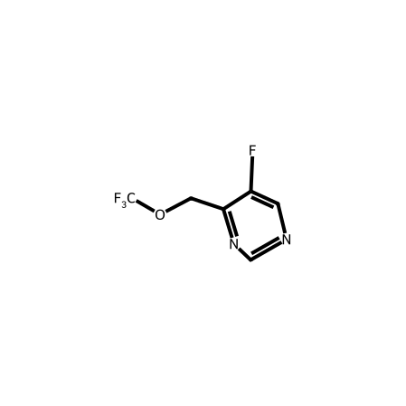 Fc1cncnc1COC(F)(F)F